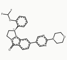 O=c1c2ccc(-c3cnc(N4CCOCC4)nc3)cc2n2n1CC[C@H]2c1ccccc1OC(F)F